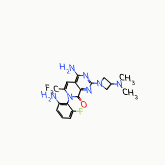 CN(C)C1CN(c2nc(N)c3cc(C(F)(F)F)n(-c4c(N)cccc4F)c(=O)c3n2)C1